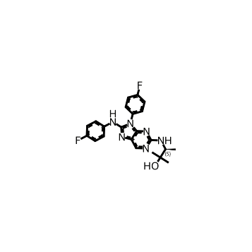 C[C@H](Nc1ncc2nc(Nc3ccc(F)cc3)n(-c3ccc(F)cc3)c2n1)C(C)(C)O